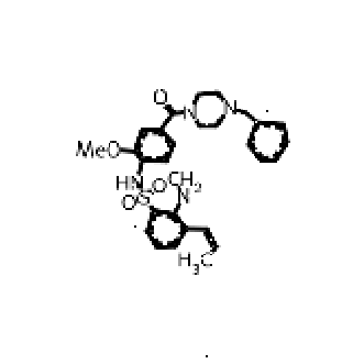 C=Nc1c(/C=C\C)cccc1S(=O)(=O)Nc1ccc(C(=O)N2CCN(Cc3ccccc3)CC2)cc1OC